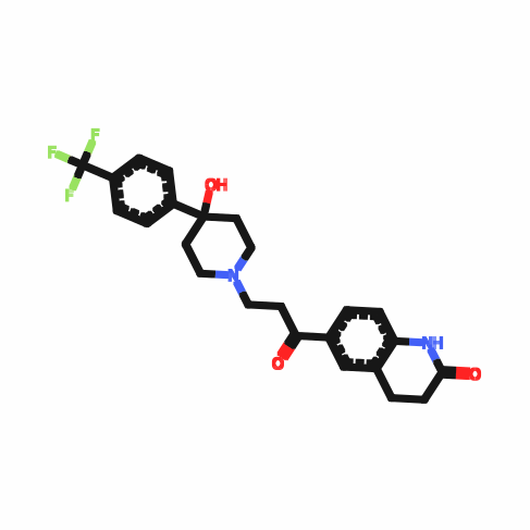 O=C1CCc2cc(C(=O)CCN3CCC(O)(c4ccc(C(F)(F)F)cc4)CC3)ccc2N1